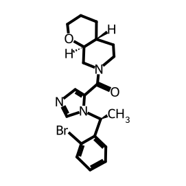 C[C@@H](c1ccccc1Br)n1cncc1C(=O)N1CC[C@H]2CCCO[C@@H]2C1